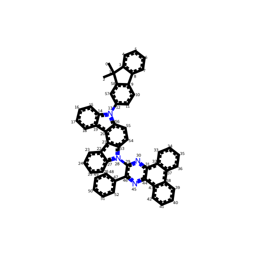 CC1(C)c2ccccc2-c2ccc(-n3c4ccccc4c4c5c6ccccc6n(-c6nc7c8ccccc8c8ccccc8c7nc6-c6ccccc6)c5ccc43)cc21